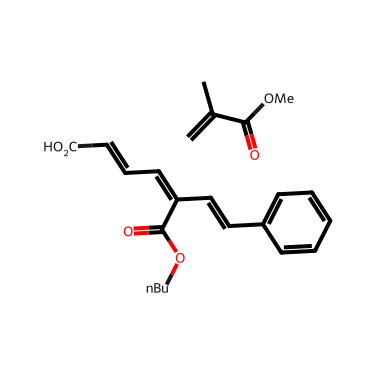 C=C(C)C(=O)OC.CCCCOC(=O)C(C=Cc1ccccc1)=CC=CC(=O)O